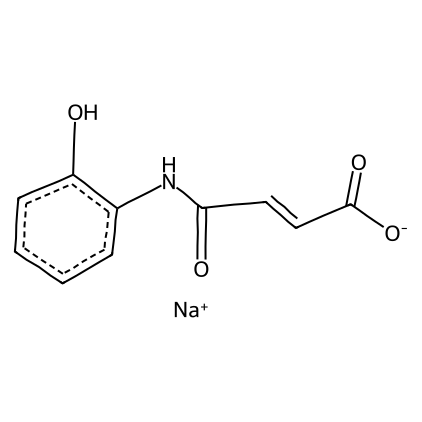 O=C([O-])C=CC(=O)Nc1ccccc1O.[Na+]